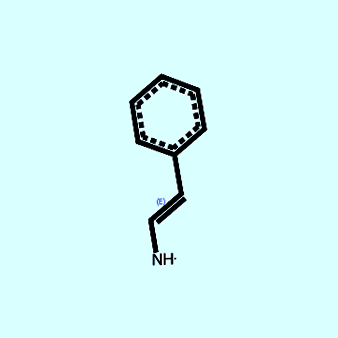 [NH]/C=C/c1ccccc1